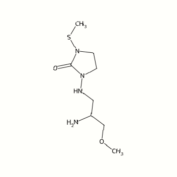 COCC(N)CNN1CCN(SC)C1=O